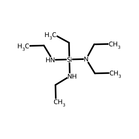 CCN[Si](CC)(NCC)N(CC)CC